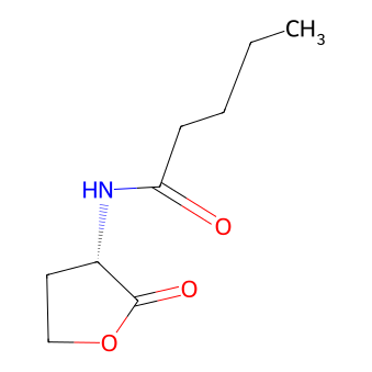 CCCCC(=O)N[C@H]1CCOC1=O